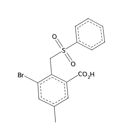 Cc1cc(Br)c(CS(=O)(=O)c2ccccc2)c(C(=O)O)c1